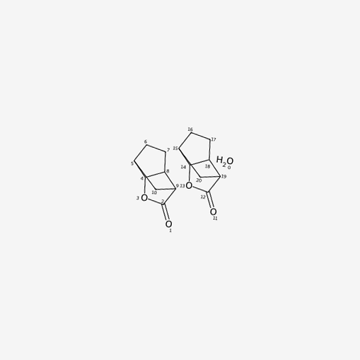 O.O=C1OC2C3CCC2C1C3.O=C1OC2C3CCC2C1C3